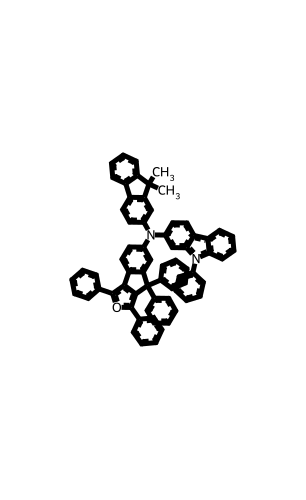 CC1(C)c2ccccc2-c2ccc(N(c3ccc4c(c3)C(c3ccccc3)(c3ccccc3)c3c(-c5ccccc5)oc(-c5ccccc5)c3-4)c3ccc4c5ccccc5n(-c5ccccc5)c4c3)cc21